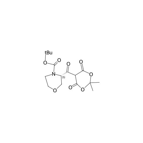 CC(C)(C)OC(=O)N1CCOC[C@H]1C(=O)C1C(=O)OC(C)(C)OC1=O